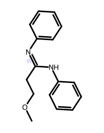 COCC/C(=N/c1ccccc1)Nc1ccccc1